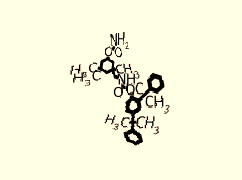 CC1(C)CC(OC(N)=O)CC(C)(CNC(=O)Oc2ccc(C(C)(C)c3ccccc3)cc2C(C)(C)c2ccccc2)C1